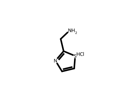 Cl.NCc1nccs1